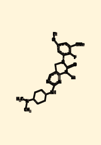 CCOc1cc(OC)c(F)c(N2Cc3cnc(NC4CCC(N(C)C)CC4)nc3N(CC)C2=O)c1